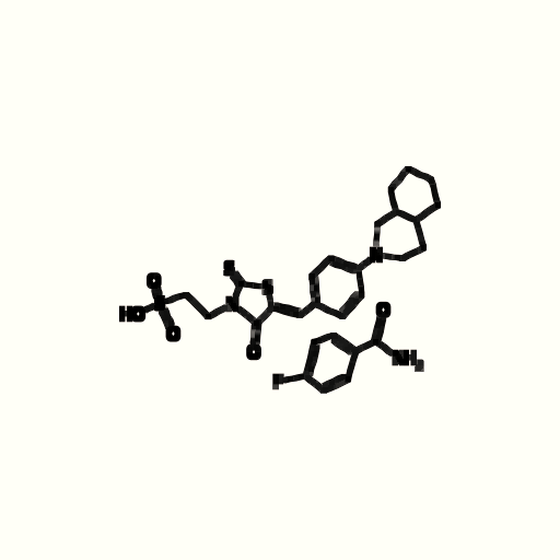 NC(=O)c1ccc(F)cc1.O=C1C(=Cc2ccc(N3CCC4CCCCC4C3)cc2)SC(=S)N1CCS(=O)(=O)O